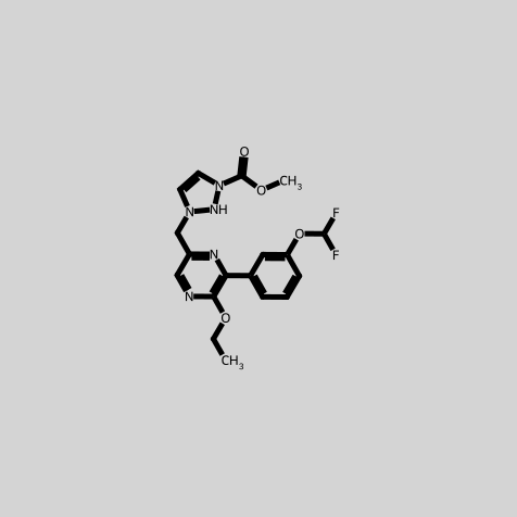 CCOc1ncc(CN2C=CN(C(=O)OC)N2)nc1-c1cccc(OC(F)F)c1